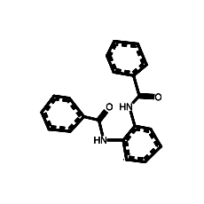 O=C(Nc1[c]cccc1NC(=O)c1ccccc1)c1ccccc1